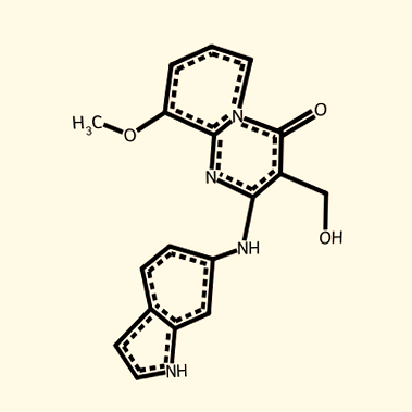 COc1cccn2c(=O)c(CO)c(Nc3ccc4cc[nH]c4c3)nc12